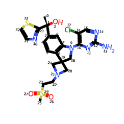 C[C@@](O)(c1ccc2c(c1)N(c1nc(N)ncc1Cl)CC21CN(CCS(C)(=O)=O)C1)c1nccs1